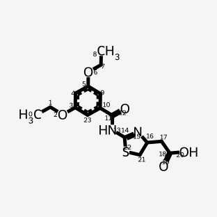 CCOc1cc(OCC)cc(C(=O)NC2=NC(CC(=O)O)CS2)c1